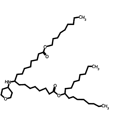 CCCCCCCCCOC(=O)CCCCCCCC(CCCCCCCC(=O)OC(CCCCCCCC)CCCCCCCC)NC1CCOCC1